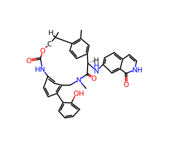 Cc1cc2ccc1[C@@H](C)COC(=O)Nc1ccc(-c3ccccc3O)c(c1)CN(C)C(=O)[C@@H]2Nc1ccc2cc[nH]c(=O)c2c1